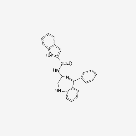 O=C(NC1CNc2ccccc2C(c2ccccc2)=N1)c1cc2ccccc2[nH]1